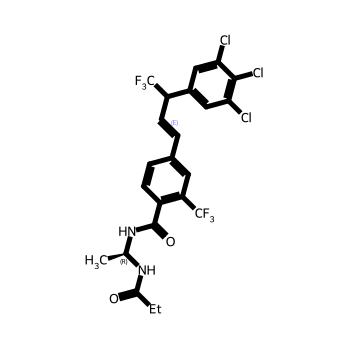 CCC(=O)N[C@@H](C)NC(=O)c1ccc(/C=C/C(c2cc(Cl)c(Cl)c(Cl)c2)C(F)(F)F)cc1C(F)(F)F